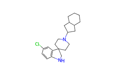 Clc1ccc2c(c1)C1(CCN(C3CC4CCCCC4C3)CC1)CN2